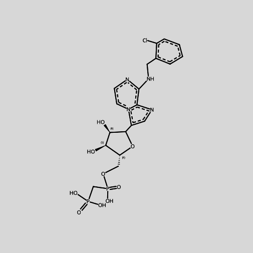 O=P(O)(O)CP(=O)(O)OC[C@H]1OC(c2cnc3c(NCc4ccccc4Cl)nccn23)[C@H](O)[C@@H]1O